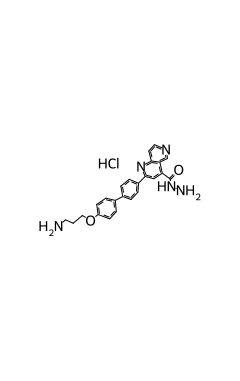 Cl.NCCCOc1ccc(-c2ccc(-c3cc(C(=O)NN)c4cnccc4n3)cc2)cc1